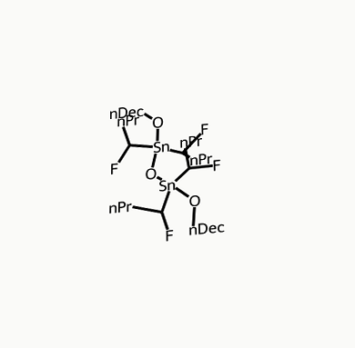 CCCCCCCCCC[O][Sn]([O][Sn]([O]CCCCCCCCCC)([CH](F)CCC)[CH](F)CCC)([CH](F)CCC)[CH](F)CCC